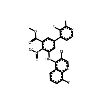 COC(=O)c1cc(-c2ccnc(F)c2F)cc(Nc2c(Cl)cnc3c(F)cccc23)c1[N+](=O)[O-]